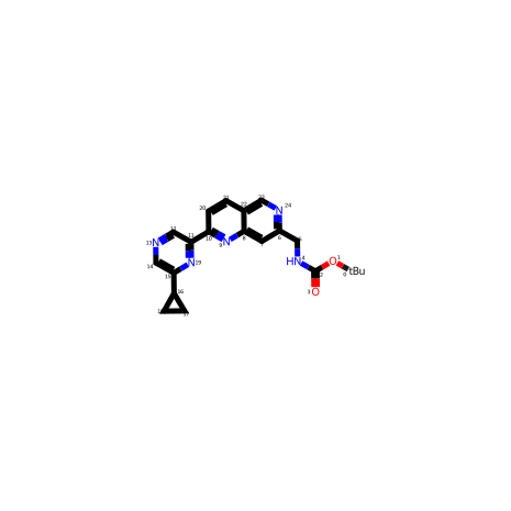 CC(C)(C)OC(=O)NCc1cc2nc(-c3cncc(C4CC4)n3)ccc2cn1